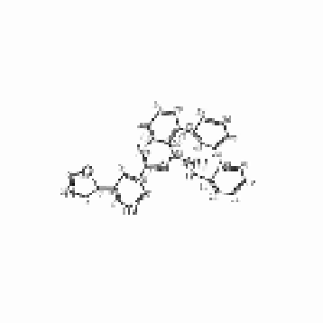 C1=NCC(c2cncc(-c3nc(NCc4ccccn4)c4c(-c5ccccc5)cccc4n3)c2)O1